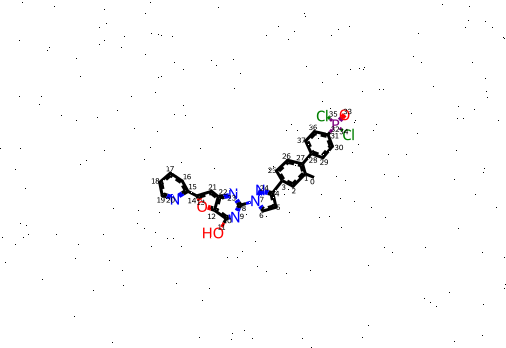 Cc1cc(-c2ccn(-c3nc(O)c4oc(-c5ccccn5)cc4n3)n2)ccc1-c1ccc(P(=O)(Cl)Cl)cc1